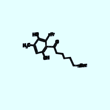 CCCCCCCCCCCCCCCC(=O)c1c(O)cc(C)c(O)c1CCC